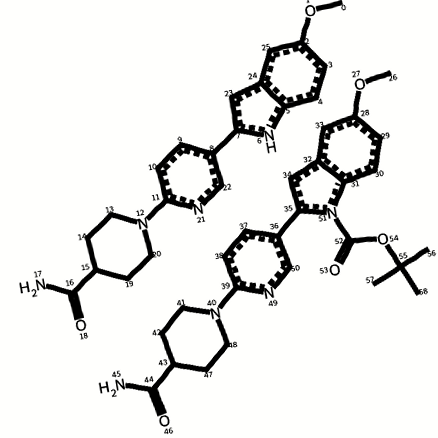 COc1ccc2[nH]c(-c3ccc(N4CCC(C(N)=O)CC4)nc3)cc2c1.COc1ccc2c(c1)cc(-c1ccc(N3CCC(C(N)=O)CC3)nc1)n2C(=O)OC(C)(C)C